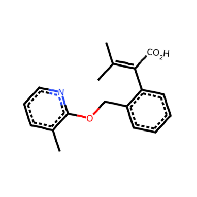 CC(C)=C(C(=O)O)c1ccccc1COc1ncccc1C